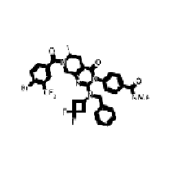 CNC(=O)c1ccc(-n2c(N(Cc3ccccc3)C3CC(F)(F)C3)nc3c(c2=O)C[C@@H](C)N(C(=O)c2ccc(Br)c(C(F)(F)F)c2)C3)cc1